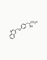 O=C(O)C(S)Cc1ccc(OCc2cnc3ccccc3c2)cc1